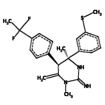 C=C1[C@@H](c2ccc(C(C)(F)F)cc2)[C@@](C)(c2cccc(SC)c2)NC(=N)N1C